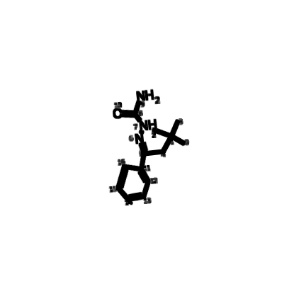 CC(C)(C)CC(=NNC(N)=O)c1ccccc1